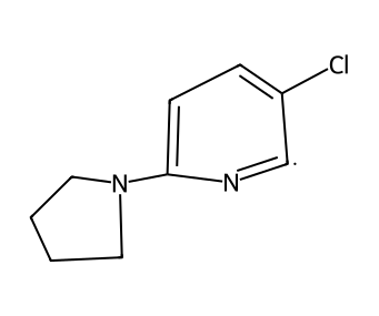 Clc1[c]nc(N2CCCC2)cc1